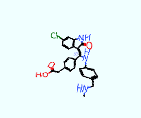 CNCc1ccc(N/C(=C2\C(=O)Nc3cc(Cl)ccc32)c2ccc(CC(=O)O)cc2)cc1